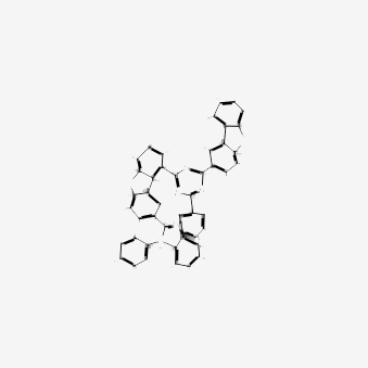 c1ccc(-c2nc(-c3ccc4oc5ccccc5c4c3)nc(-c3cccc4sc5ccc(-c6nc7ccccc7n6-c6ccccc6)cc5c34)n2)cc1